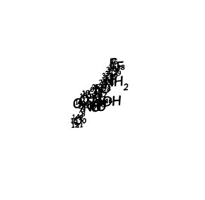 CCCC[C@H](N[C@@H](CCc1ccccc1)C(=O)OCC)C(=O)N1C[C@@H](N(C)C(=O)C[C@H](N)Cc2cc(F)c(F)cc2F)C[C@H]1C(=O)O